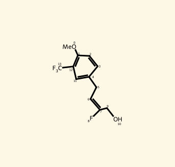 COc1ccc(C/C=C(/F)CO)cc1C(F)(F)F